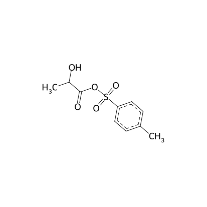 Cc1ccc(S(=O)(=O)OC(=O)C(C)O)cc1